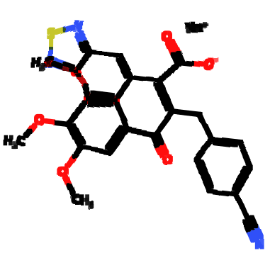 COc1cc(C(=O)/C(Cc2ccc(C#N)cc2)=C(/C(=O)[O-])c2ccc3nsnc3c2)cc(OC)c1OC.[Na+]